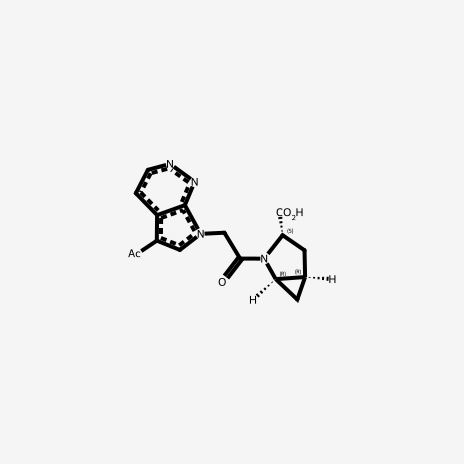 CC(=O)c1cn(CC(=O)N2[C@@H]3C[C@@H]3C[C@H]2C(=O)O)c2nnccc12